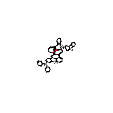 c1ccc(-c2ccccc2N(c2ccc3cc4c5c(cccc5c3c2)Oc2cc(N(c3ccccc3)c3ccccc3)ccc2-4)c2ccc3sc4ccccc4c3c2)cc1